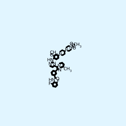 COc1cc(N2CCC(N3CCN(S(C)(=O)=O)CC3)CC2)ccc1Nc1nccc(-c2c(-c3cccc(C(=O)Nc4c(F)cccc4F)c3)nc3c(C)cccn23)n1